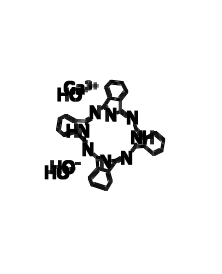 [Ga+3].[OH-].[OH-].[OH-].c1ccc2c(c1)-c1nc-2nc2[nH]c(nc3nc(nc4[nH]c(n1)c1ccccc41)-c1ccccc1-3)c1ccccc21